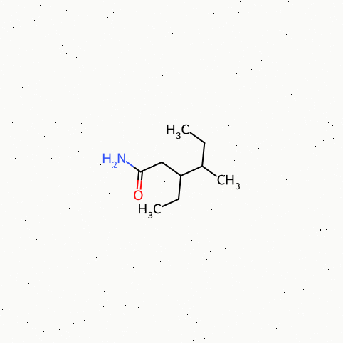 CCC(C)C(CC)CC(N)=O